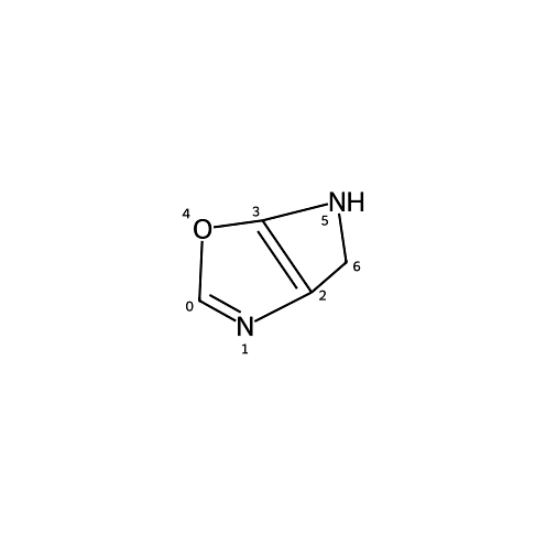 c1nc2c(o1)NC2